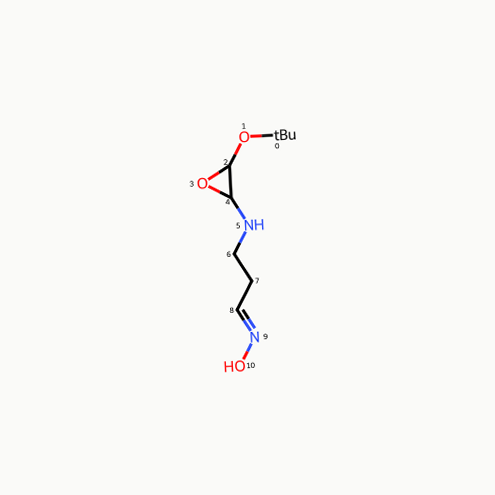 CC(C)(C)OC1OC1NCC/C=N/O